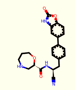 N#C[C@H](Cc1ccc(-c2ccc3oc(=O)[nH]c3c2)cc1)NC(=O)[C@@H]1CNCCCO1